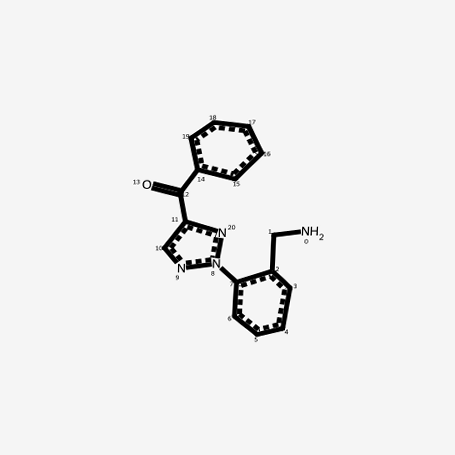 NCc1ccccc1-n1ncc(C(=O)c2ccccc2)n1